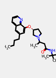 CCCCc1cc(O[C@@H]2CCN(C(C)CC(=O)NC(C)(C)C)C2)c2ncccc2c1